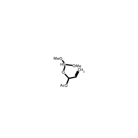 C=CC(OC(C)=O)O[SiH](OC)OC